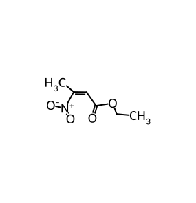 CCOC(=O)C=C(C)[N+](=O)[O-]